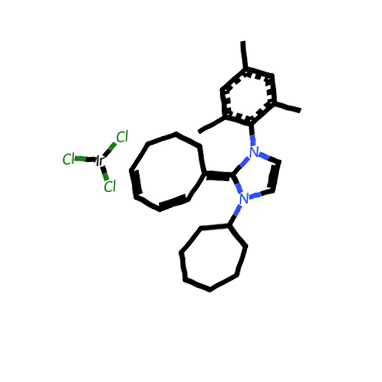 Cc1cc(C)c(N2C=CN(C3CCCCCC3)C2=C2C=CC=CCCC2)c(C)c1.[Cl][Ir]([Cl])[Cl]